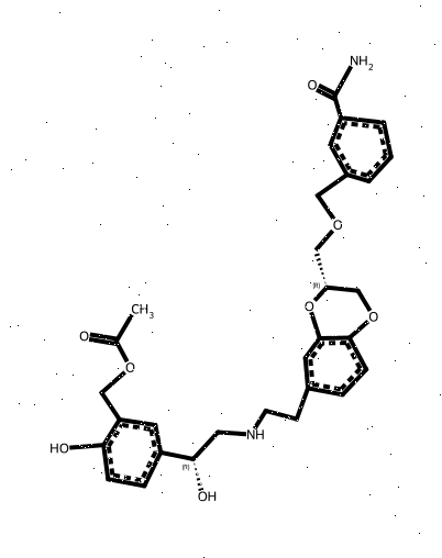 CC(=O)OCc1cc([C@@H](O)CNCCc2ccc3c(c2)O[C@H](COCc2cccc(C(N)=O)c2)CO3)ccc1O